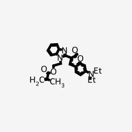 C=C(C)C(=O)OCCN1C(c2cc3ccc(N(CC)CC)cc3oc2=O)=NC2C=CC=CC21